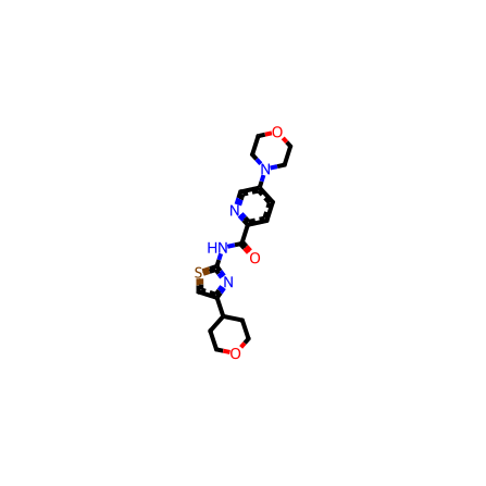 O=C(Nc1nc(C2CCOCC2)cs1)c1ccc(N2CCOCC2)cn1